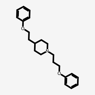 c1ccc(OCCCN2CCC(CCOc3ccccc3)CC2)cc1